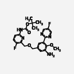 COc1c(N)cc(COCc2nc(NC(=O)OC(C)(C)C)ccc2F)cc1-c1ncc(F)cn1